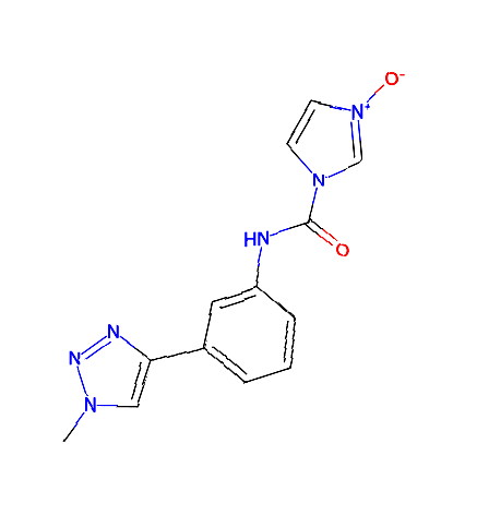 Cn1cc(-c2cccc(NC(=O)n3cc[n+]([O-])c3)c2)nn1